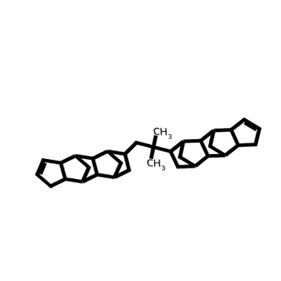 CC(C)(CC1CC2CC1C1C3CC(C4CC=CC43)C21)C1CC2CC1C1C3CC(C4CC=CC43)C21